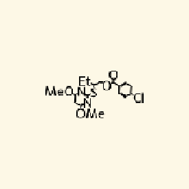 CCC(COC(=O)c1ccc(Cl)cc1)Sc1nc(OC)cc(OC)n1